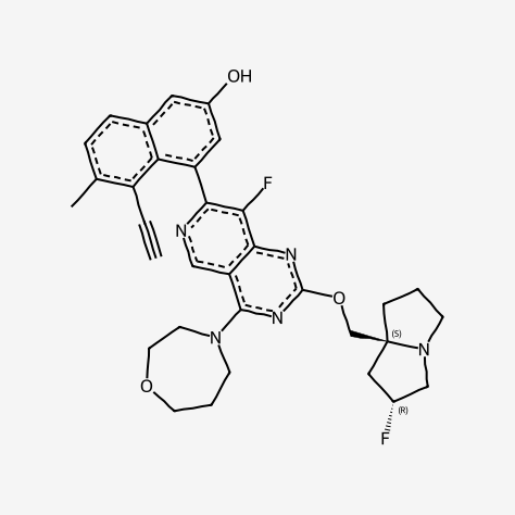 C#Cc1c(C)ccc2cc(O)cc(-c3ncc4c(N5CCCOCC5)nc(OC[C@@]56CCCN5C[C@H](F)C6)nc4c3F)c12